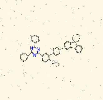 Cc1ccc(-c2nc(-c3ccccc3)nc(-c3ccccc3)n2)cc1-c1ccc(-c2ccc3c(c2)-c2ccccc2C32CCCCC2)cc1